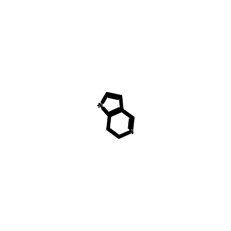 C1=CC2=C(CCN=C2)[N]1